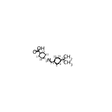 C=C(C)c1ccc(C=NC[C@H]2CC[C@H](C(=O)O)CC2)cc1